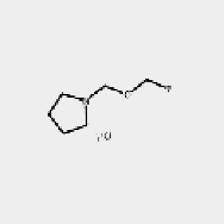 Cl.FCOCN1CCCC1